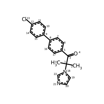 CC(C)(C(=O)c1ccc(-c2ccc(Cl)cc2)cc1)n1ccnc1